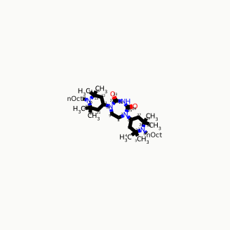 CCCCCCCCN1C(C)(C)CC(N2CCN(C3CC(C)(C)N(CCCCCCCC)C(C)(C)C3)C(=O)NC2=O)CC1(C)C